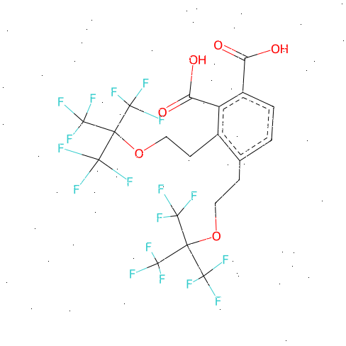 O=C(O)c1ccc(CCOC(C(F)(F)F)(C(F)(F)F)C(F)(F)F)c(CCOC(C(F)(F)F)(C(F)(F)F)C(F)(F)F)c1C(=O)O